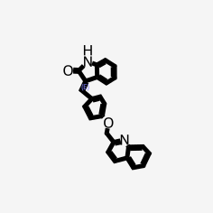 O=C1Nc2ccccc2/C1=C\c1ccc(OCc2ccc3ccccc3n2)cc1